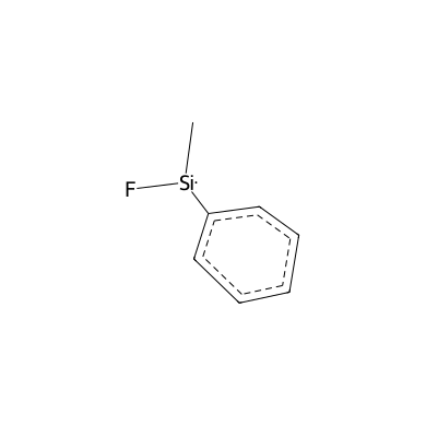 C[Si](F)c1ccccc1